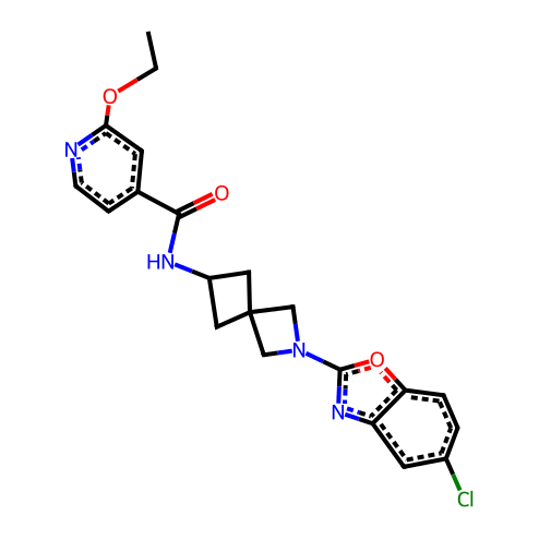 CCOc1cc(C(=O)NC2CC3(C2)CN(c2nc4cc(Cl)ccc4o2)C3)ccn1